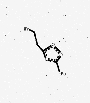 CC(C)CCc1nc(C(C)(C)C)no1